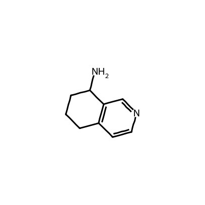 NC1CCCc2ccncc21